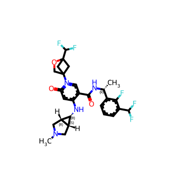 C[C@@H](NC(=O)c1cn(C23COC(C(F)F)(C2)C3)c(=O)cc1N[C@@H]1[C@@H]2CN(C)C[C@@H]21)c1cccc(C(F)F)c1F